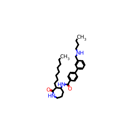 CCCCCCCCC1C(=O)NCCCC1NC(=O)c1ccc(-c2cccc(CNCCCC)c2)cc1